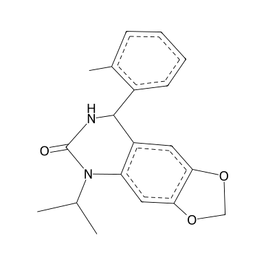 Cc1ccccc1C1NC(=O)N(C(C)C)c2cc3c(cc21)OCO3